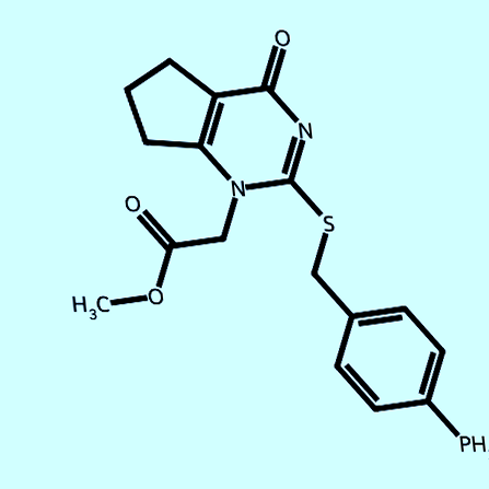 COC(=O)Cn1c(SCc2ccc(P)cc2)nc(=O)c2c1CCC2